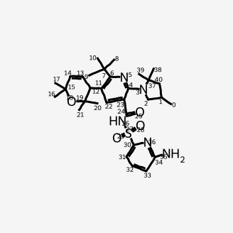 CC1CN(c2nc(C(C)(C)C)c(C3C=CC(C)(C)OC3(C)C)cc2C(=O)NS(=O)(=O)c2cccc(N)n2)C(C)(C)C1